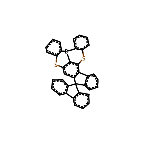 c1ccc2c(c1)Sc1cc3c(c4c1B2c1ccccc1S4)-c1ccccc1C31c2ccccc2-c2ccccc21